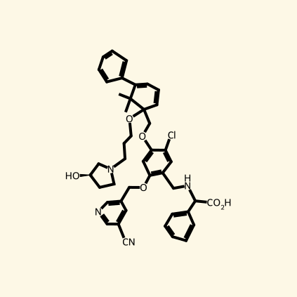 CC1(C)C(c2ccccc2)=CC=CC1(COc1cc(OCc2cncc(C#N)c2)c(CNC(C(=O)O)c2ccccc2)cc1Cl)OCCCN1CC[C@@H](O)C1